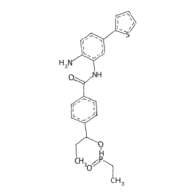 CCC(O[PH](=O)CC)c1ccc(C(=O)Nc2cc(-c3cccs3)ccc2N)cc1